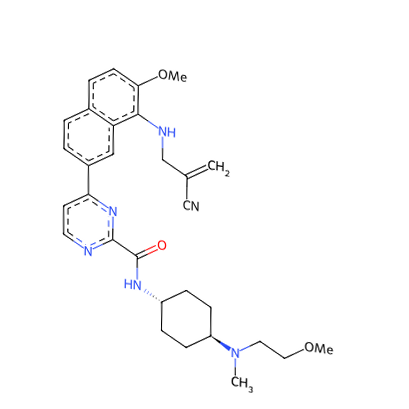 C=C(C#N)CNc1c(OC)ccc2ccc(-c3ccnc(C(=O)N[C@H]4CC[C@H](N(C)CCOC)CC4)n3)cc12